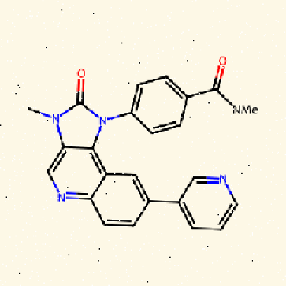 CNC(=O)c1ccc(-n2c(=O)n(C)c3cnc4ccc(-c5cccnc5)cc4c32)cc1